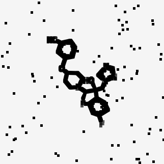 C[C@@H](N1CCC(Oc2cccc(C#N)c2)CC1)[C@](O)(Cn1cncn1)c1ccc(F)cc1F